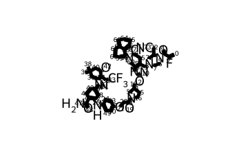 C=C(F)C(=O)N1CCN(c2nc(OCC3CCN(C(=O)COc4ccc(Nc5cc(-n6nc(C(F)(F)F)c7c6CC(C)(C)CC7=O)ccc5C(N)=O)cc4)C3)nc3c2CCN(c2cccc4cccc(Cl)c24)C3)CC1CC#N